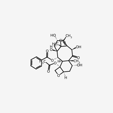 CC(=O)O[C@@]12CO[C@@H]1C[C@@H](O)[C@@]1(C)C(=O)[C@H](O)C3=C(C)[C@@H](O)C[C@@](O)([C@@H](OC(=O)c4ccccc4)[C@H]21)C3(C)C